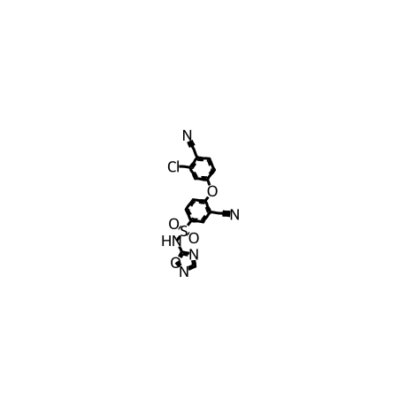 N#Cc1ccc(Oc2ccc(S(=O)(=O)Nc3ncno3)cc2C#N)cc1Cl